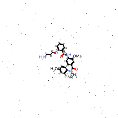 COc1cc(C(=O)N(C)c2ccc(C)cc2OC)ccc1NC(=O)c1ccccc1OCCCN